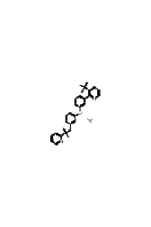 CC(C)(C)c1cccnc1-c1cccc(Oc2cccc(CC(C)(C)c3ccccn3)c2)c1.[Pd]